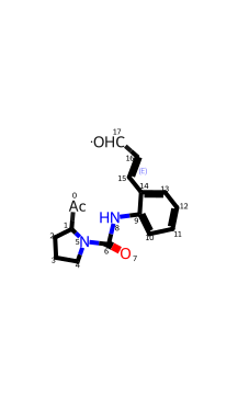 CC(=O)C1CCCN1C(=O)Nc1ccccc1/C=C/[C]=O